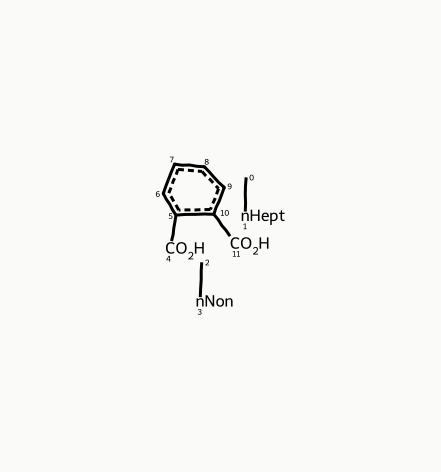 CCCCCCCC.CCCCCCCCCC.O=C(O)c1ccccc1C(=O)O